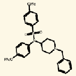 COc1ccc(N(C2CCN(Cc3ccccc3)CC2)S(=O)(=O)c2ccc(OC)cc2)cc1